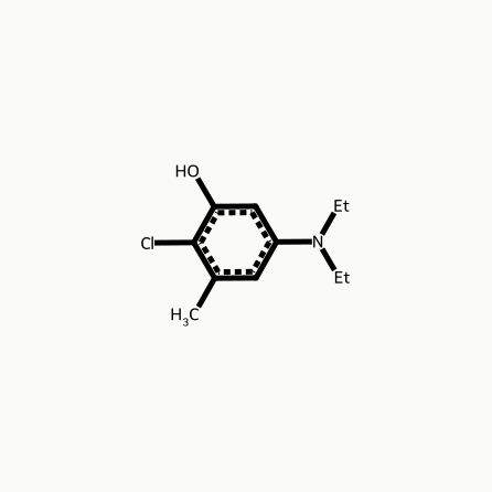 CCN(CC)c1cc(C)c(Cl)c(O)c1